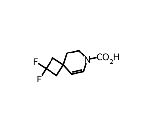 O=C(O)N1C=CC2(CC1)CC(F)(F)C2